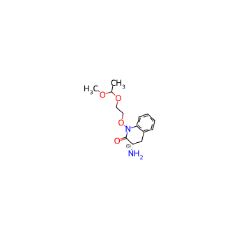 COC(C)OCCON1C(=O)[C@@H](N)Cc2ccccc21